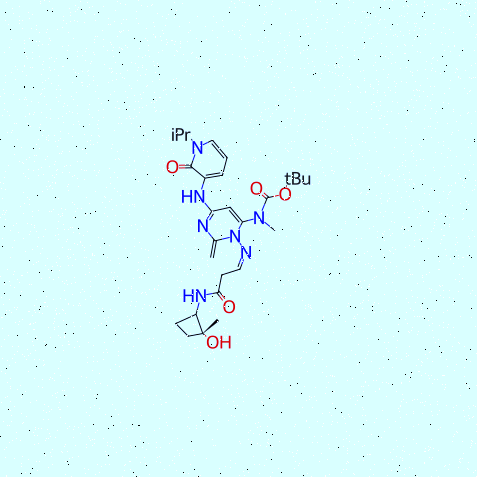 C=C1N=C(Nc2cccn(C(C)C)c2=O)C=C(N(C)C(=O)OC(C)(C)C)N1/N=C\CC(=O)NC1CC[C@@]1(C)O